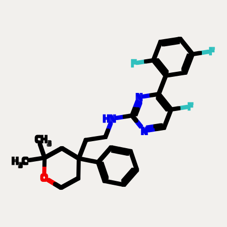 CC1(C)CC(CCNc2ncc(F)c(-c3cc(F)ccc3F)n2)(c2ccccc2)CCO1